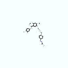 COc1cc2ncnc(Nc3ccc(F)c(Cl)c3)c2cc1OCCNCc1ccc(/C=C/C(=O)NO)cc1